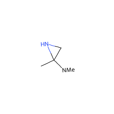 CNC1(C)CN1